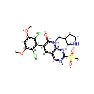 COc1cc(OC)c(Cl)c(-c2cc3cnc(S(C)(=O)=O)nc3n(CC3CCNC3)c2=O)c1Cl